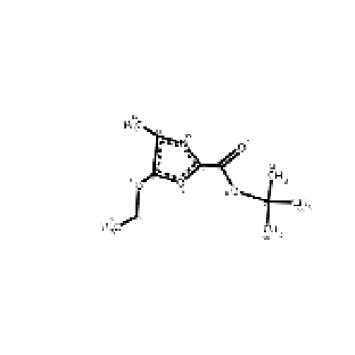 CCOc1oc(C(=O)OC(C)(C)C)nc1C